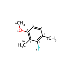 COc1ccc(C)c(F)c1C